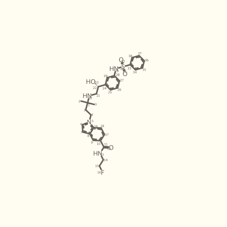 CC(C)(CCn1ccc2cc(C(=O)NCCF)ccc21)NC[C@H](O)c1cccc(NS(=O)(=O)c2ccccc2)c1